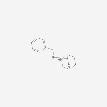 c1ccc(CNC2CC3CCC2NC3)cc1